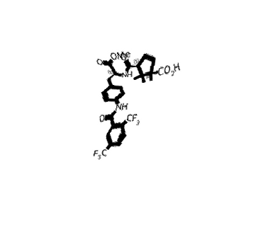 COC(=O)[C@H](Cc1ccc(NC(=O)c2cc(C(F)(F)F)ccc2C(F)(F)F)cc1)NC(=O)[C@H]1CC[C@@](C)(C(=O)O)C1(C)C